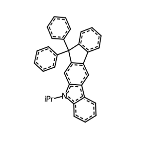 CC(C)n1c2ccccc2c2cc3c(cc21)C(c1ccccc1)(c1ccccc1)c1ccccc1-3